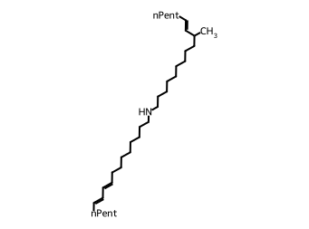 CCCCC/C=C/C=C/CCCCCCCCNCCCCCCCCCC(C)/C=C/CCCCC